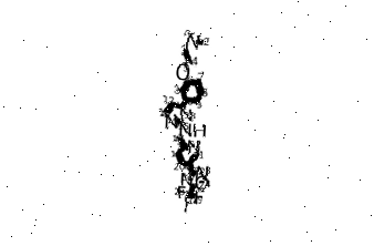 CN(C)CCOc1cccc(-c2ccnc(NCc3ccc(-c4noc(C(F)(F)F)n4)cn3)n2)c1